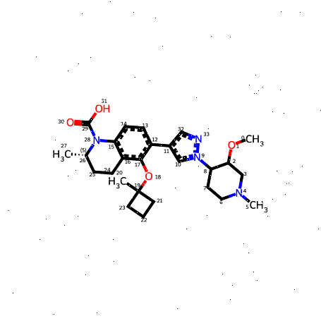 COC1CN(C)CCC1n1cc(-c2ccc3c(c2OC2(C)CCC2)CC[C@H](C)N3C(=O)O)cn1